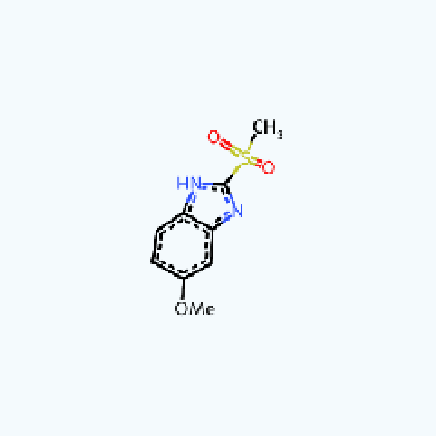 COc1ccc2[nH]c(S(C)(=O)=O)nc2c1